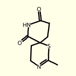 CC1=NCCC2(CCC(=O)NC2=O)S1